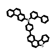 c1ccc(-c2cccc(N(c3ccc(-c4ccc5ccc6sc7ccccc7c6c5c4)cc3)c3ccc4c(ccc5ccccc54)c3)c2)cc1